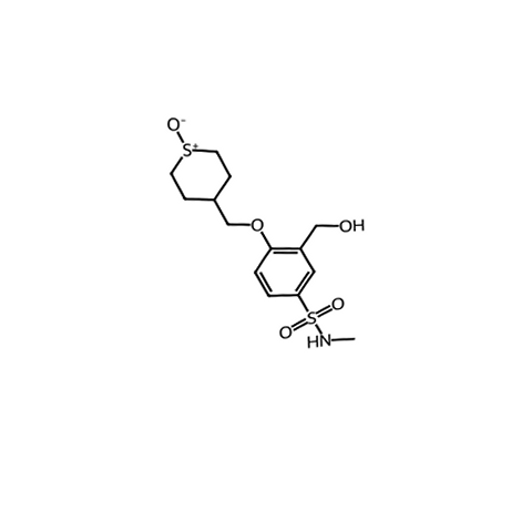 CNS(=O)(=O)c1ccc(OCC2CC[S+]([O-])CC2)c(CO)c1